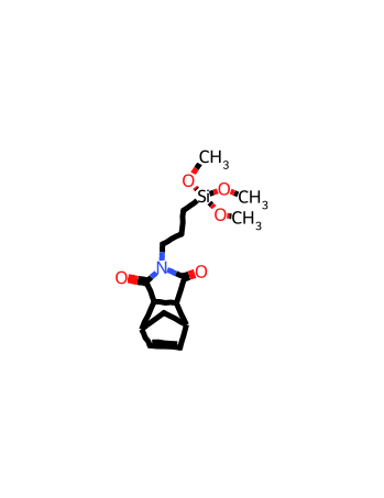 CO[Si](CCCN1C(=O)C2C3C=CC(C3)C2C1=O)(OC)OC